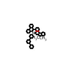 CC1(C)c2ccccc2-c2ccc(N(c3ccc(-c4cccc(-c5ccccc5)c4)cc3)c3c(-c4ccccc4)c4ccccc4c4ccccc34)cc21